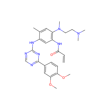 C=CC(=O)Nc1cc(Nc2ncnc(-c3ccc(OC)c(OC)c3)n2)c(C)cc1N(C)CCN(C)C